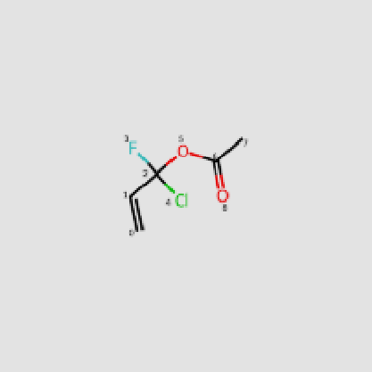 C=CC(F)(Cl)OC(C)=O